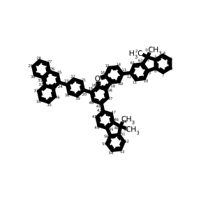 CC1(C)c2ccccc2-c2ccc(-c3ccc4oc5c(-c6ccc(-c7cc8ccccc8c8ccccc78)cc6)cc(-c6ccc7c(c6)C(C)(C)c6ccccc6-7)cc5c4c3)cc21